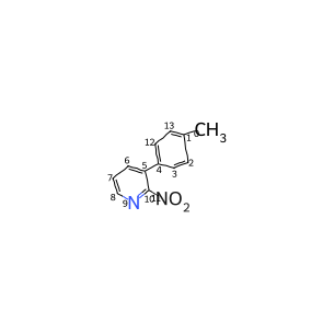 Cc1ccc(-c2cccnc2[N+](=O)[O-])cc1